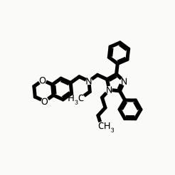 CCCCn1c(-c2ccccc2)nc(-c2ccccc2)c1CN(CC)Cc1ccc2c(c1)OCCO2